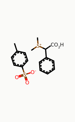 C[S+](C)C(C(=O)O)c1ccccc1.Cc1ccc(S(=O)(=O)[O-])cc1